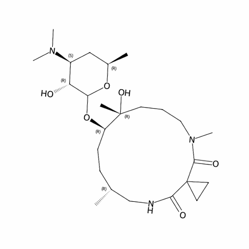 C[C@@H]1CC[C@@H](OC2O[C@H](C)C[C@H](N(C)C)[C@H]2O)[C@](C)(O)CCCN(C)C(=O)C2(CC2)C(=O)NC1